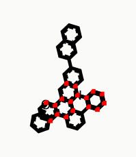 c1ccc(-c2ccccc2-c2c(-c3ccccc3)cccc2-c2ccccc2N(c2ccc(-c3ccc4ccccc4c3)cc2)c2ccc3c(c2)oc2ccccc23)cc1